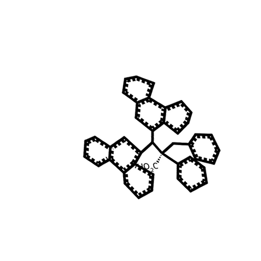 O=C(O)[C@](Cc1ccccc1)(c1ccccc1)C(c1cc2ccccc2c2ccccc12)c1cc2ccccc2c2ccccc12